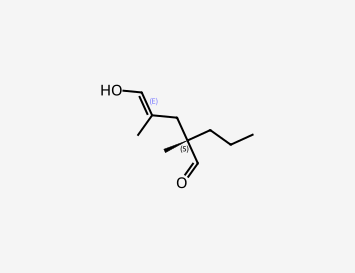 CCC[C@](C)(C=O)C/C(C)=C/O